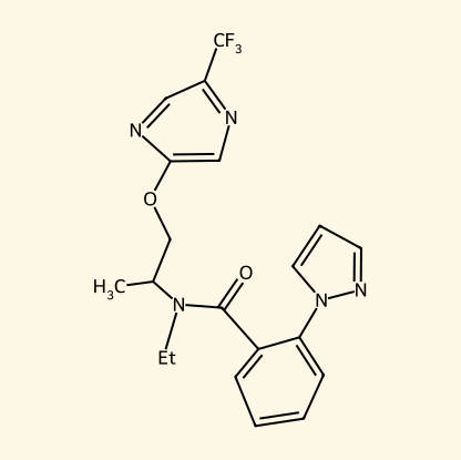 CCN(C(=O)c1ccccc1-n1cccn1)C(C)COc1cnc(C(F)(F)F)cn1